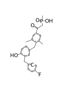 Cc1cc(C(=O)CP(C)(=O)O)cc(C)c1Cc1ccc(O)c(Cc2ccc(F)cc2)c1